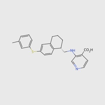 Cc1cccc(Sc2ccc3c(c2)CCC[C@@H]3CNc2cnccc2C(=O)O)c1